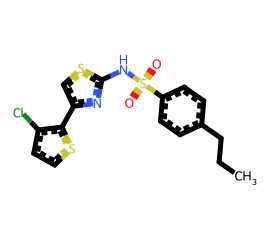 CCCc1ccc(S(=O)(=O)Nc2nc(-c3sccc3Cl)cs2)cc1